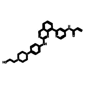 C=CC(=O)Nc1ccnc(-c2cccc3cnc(Nc4ccc(N5CCN(CCO)CC5)cc4)nc23)c1